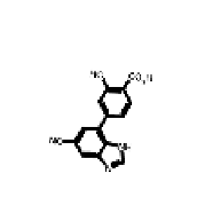 N#Cc1cc(-c2ccc(C(=O)O)c(O)c2)c2[nH]cnc2c1